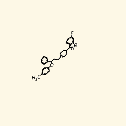 Cc1ccc(OC(CCN2CCC(c3noc4cc(F)ccc34)CC2)c2ccccc2)cc1